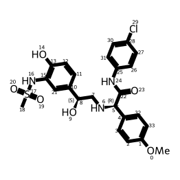 COc1ccc([C@@H](NC[C@@H](O)c2ccc(O)c(NS(C)(=O)=O)c2)C(=O)Nc2ccc(Cl)cc2)cc1